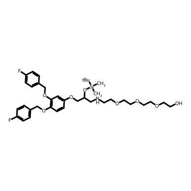 CC(C)(C)[Si](C)(C)OC(CNCCOCCOCCOCCO)COc1ccc(OCc2ccc(F)cc2)c(OCc2ccc(F)cc2)c1